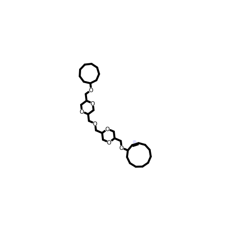 C1=C\C(OCC2COC(COCC3COC(COC4CCCCCCCC4)CO3)CO2)CCCCCCCC/1